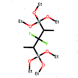 CCO[Si](OCC)(OCC)C(C)C(F)(F)C(C)[Si](OCC)(OCC)OCC